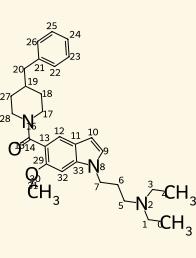 CCN(CC)CCCn1ccc2cc(C(=O)N3CCC(Cc4ccccc4)CC3)c(OC)cc21